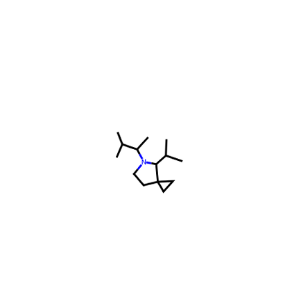 CC(C)C(C)N1CCC2(CC2)C1C(C)C